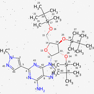 Cn1cc(-c2nc(N)c3ncn([C@@H]4O[C@H](CO[Si](C)(C)C(C)(C)C)[C@@H](O[Si](C)(C)C(C)(C)C)[C@@H]4O[Si](C)(C)C(C)(C)C)c3n2)cn1